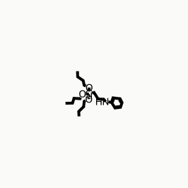 CCCCO[Si](CCCNc1ccccc1)(OCCCC)OCCCC